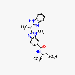 CC(c1nc2ccccc2[nH]1)c1nc2ccc(C(=O)N[C@@H](CS(=O)(=O)O)C(=O)O)cc2n1C